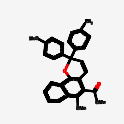 COC(=O)c1c2c(c3ccccc3c1OC)OC(c1ccc(C)cc1)(c1ccc(OC)cc1)C=C2